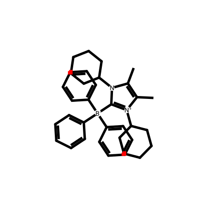 Cc1c(C)[n+](C2CCCCC2)c([B-](c2ccccc2)(c2ccccc2)c2ccccc2)n1C1CCCCC1